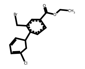 CCOC(=O)c1ccc(C2C=CC=C(Cl)C2)c(CBr)c1